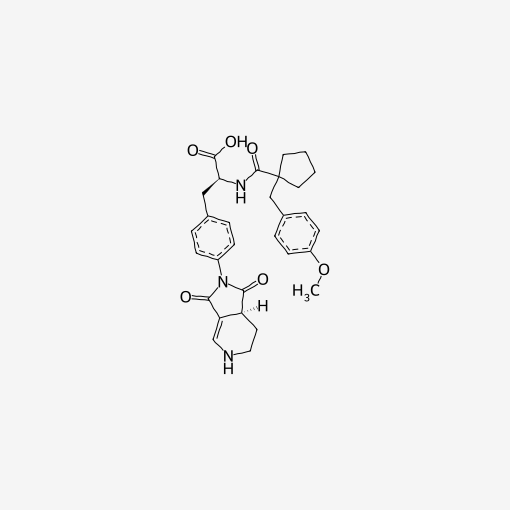 COc1ccc(CC2(C(=O)N[C@@H](Cc3ccc(N4C(=O)C5=CNCC[C@@H]5C4=O)cc3)C(=O)O)CCCC2)cc1